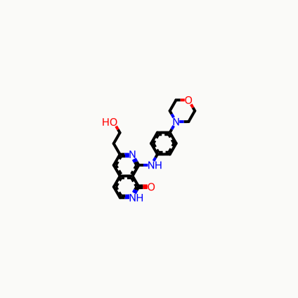 O=c1[nH]ccc2cc(CCO)nc(Nc3ccc(N4CCOCC4)cc3)c12